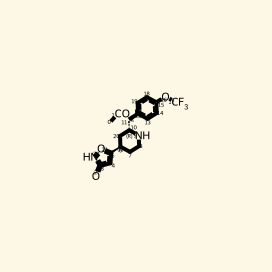 CC(=O)O.O=c1cc([C@@H]2CCN[C@@H](Cc3ccc(OC(F)(F)F)cc3)C2)o[nH]1